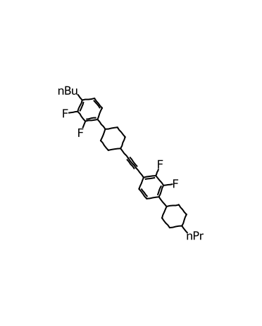 CCCCc1ccc(C2CCC(C#Cc3ccc(C4CCC(CCC)CC4)c(F)c3F)CC2)c(F)c1F